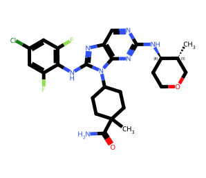 C[C@@H]1COCC[C@H]1Nc1ncc2nc(Nc3c(F)cc(Cl)cc3F)n(C3CCC(C)(C(N)=O)CC3)c2n1